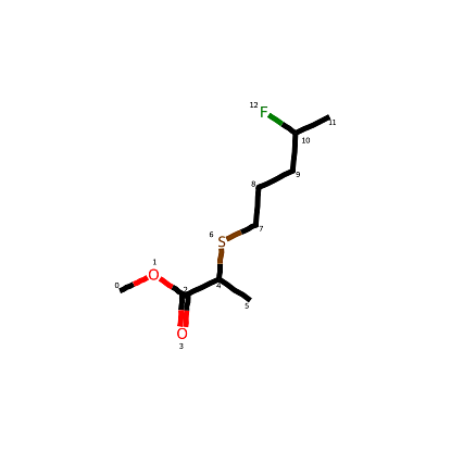 COC(=O)C(C)SCCCC(C)F